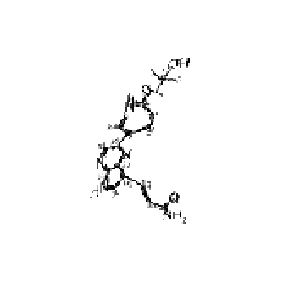 CC(C)(O)COc1ccc(-c2cnc3[nH]cc(C=CC(N)=O)c3n2)cn1